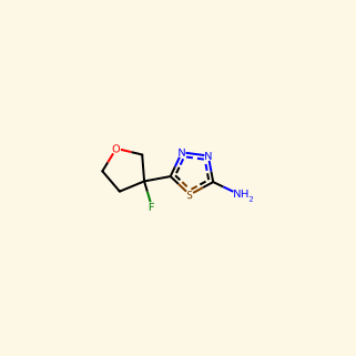 Nc1nnc(C2(F)CCOC2)s1